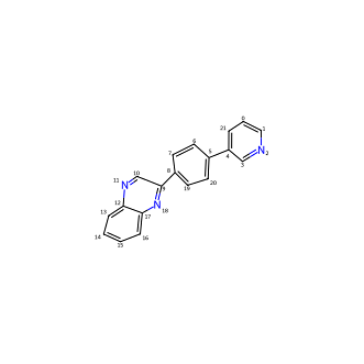 c1cncc(-c2ccc(-c3cnc4ccccc4n3)cc2)c1